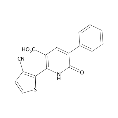 N#Cc1ccsc1-c1[nH]c(=O)c(-c2ccccc2)cc1C(=O)O